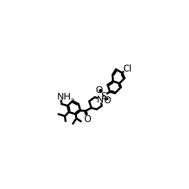 CC(C)c1c(CN)ccc(C(=O)C2CCN(S(=O)(=O)c3ccc4cc(Cl)ccc4c3)CC2)c1C(C)C